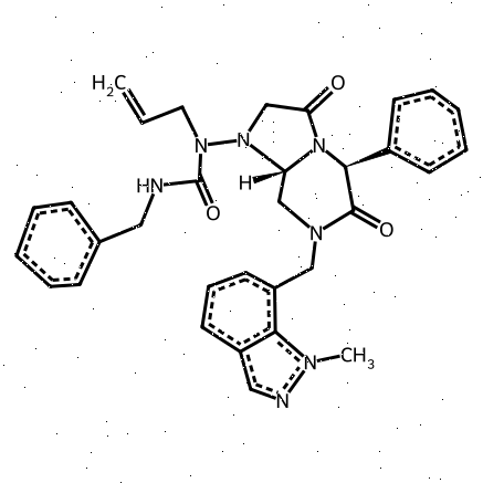 C=CCN(C(=O)NCc1ccccc1)N1CC(=O)N2[C@@H](c3ccccc3)C(=O)N(Cc3cccc4cnn(C)c34)C[C@@H]21